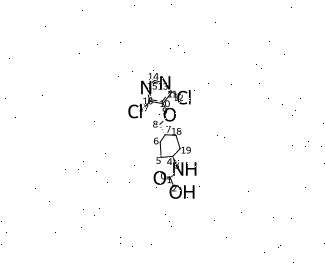 O=C(O)N[C@H]1CC[C@H](COc2c(Cl)ncnc2Cl)CC1